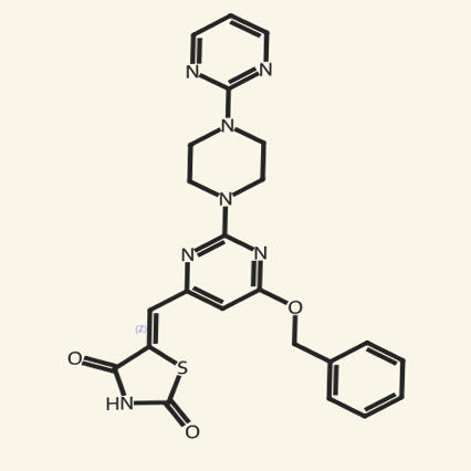 O=C1NC(=O)/C(=C/c2cc(OCc3ccccc3)nc(N3CCN(c4ncccn4)CC3)n2)S1